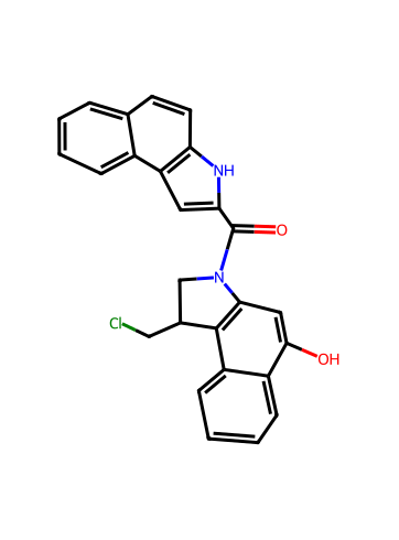 O=C(c1cc2c(ccc3ccccc32)[nH]1)N1CC(CCl)c2c1cc(O)c1ccccc21